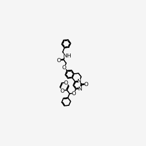 O=C(COc1ccc2c(c1)CCn1c-2cc(OC(C2=CC=CCC2)C2=COC=CO2)nc1=O)NCc1ccccc1